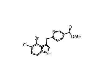 COC(=O)c1ccc(Cc2c[nH]c3ccc(Cl)c(Br)c23)nc1